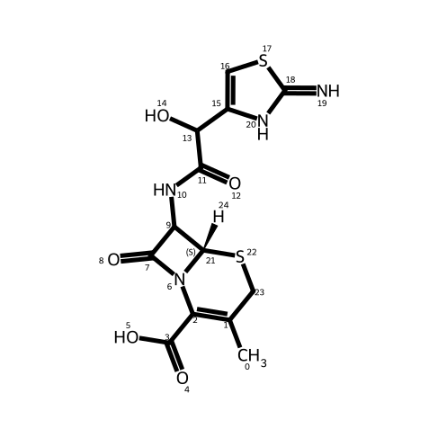 CC1=C(C(=O)O)N2C(=O)C(NC(=O)C(O)c3csc(=N)[nH]3)[C@@H]2SC1